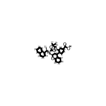 COC(=O)c1ccc(C2C[C@H](CN(C(=O)OC(C)(C)C)[C@H](C)c3cccc4ccccc34)Oc3ccccc32)c(OC)c1